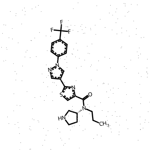 CCCN(C(=O)c1csc(-c2cnn(-c3ccc(C(F)(F)F)cc3)c2)n1)[C@@H]1CCNC1